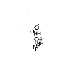 Cc1ccc(C(=O)NCc2cc(Br)c3[nH]c(C(F)(F)F)cc3c2)cc1